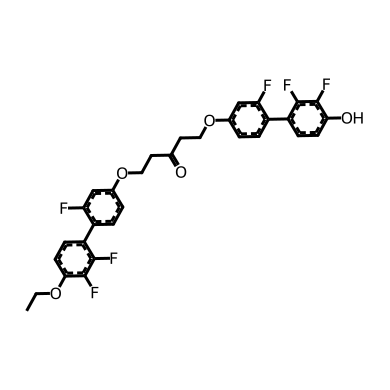 CCOc1ccc(-c2ccc(OCCC(=O)CCOc3ccc(-c4ccc(O)c(F)c4F)c(F)c3)cc2F)c(F)c1F